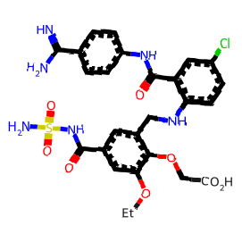 CCOc1cc(C(=O)NS(N)(=O)=O)cc(CNc2ccc(Cl)cc2C(=O)Nc2ccc(C(=N)N)cc2)c1OCC(=O)O